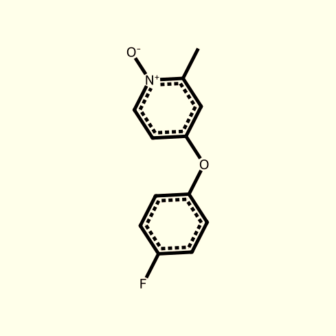 Cc1cc(Oc2ccc(F)cc2)cc[n+]1[O-]